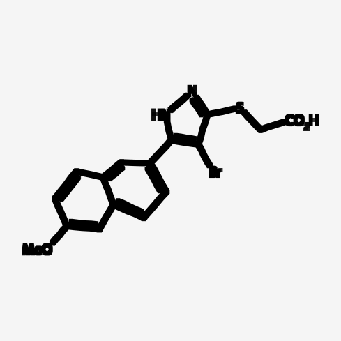 COc1ccc2cc(-c3[nH]nc(SCC(=O)O)c3Br)ccc2c1